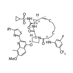 COc1ccc2c(O[C@@H]3C[C@H]4C(=O)N[C@]5(C(=O)NS(=O)(=O)C6CC6)C[C@H]5/C=C\CCCCC[C@H](Nc5cc(F)cc(C(F)(F)F)c5)C(=O)N4C3)cc(-c3nc(C(C)C)cs3)nc2c1C